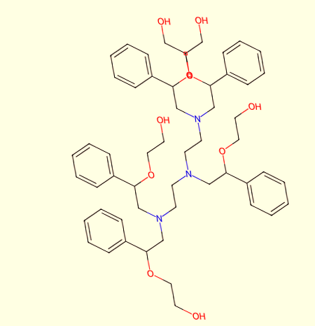 OCCOC(CN(CCN(CC(OCCO)c1ccccc1)CC(OCCO)c1ccccc1)CCN(CC(OCCO)c1ccccc1)CC(OCCO)c1ccccc1)c1ccccc1